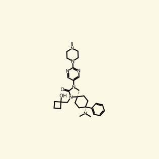 CN1CCN(c2ncc(N3C[C@]4(CC[C@@](c5ccccc5)(N(C)C)CC4)N(CC4(O)CCC4)C3=O)cn2)CC1